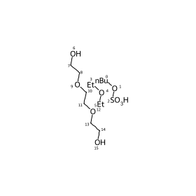 CCCCOS(=O)(=O)O.CCOCC.OCCOCCOCCO